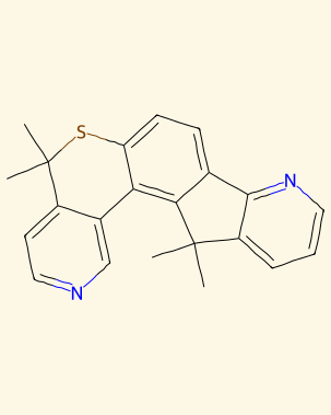 CC1(C)Sc2ccc3c(c2-c2cnccc21)C(C)(C)c1cccnc1-3